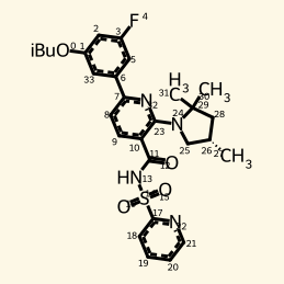 CC(C)COc1cc(F)cc(-c2ccc(C(=O)NS(=O)(=O)c3ccccn3)c(N3C[C@@H](C)CC3(C)C)n2)c1